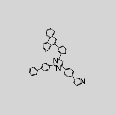 c1ccc(-c2ccc(-c3nc(-c4ccc(-c5cccnc5)cc4)cc(-c4cccc(-c5cc6ccccc6c6ccccc56)c4)n3)cc2)cc1